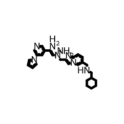 N/C(=C\N(N)Cc1cn2cc(CNCC3CCCCC3)ccc2n1)c1cncc(-n2cccc2)c1